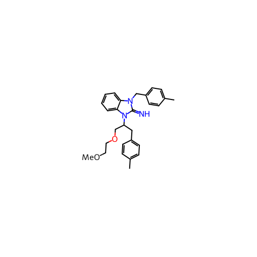 COCCOCC(Cc1ccc(C)cc1)n1c(=N)n(Cc2ccc(C)cc2)c2ccccc21